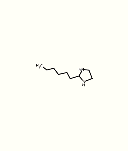 CCCCCCC1NCCN1